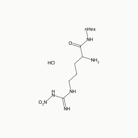 CCCCCCNC(=O)C(N)CCCNC(=N)N[N+](=O)[O-].Cl